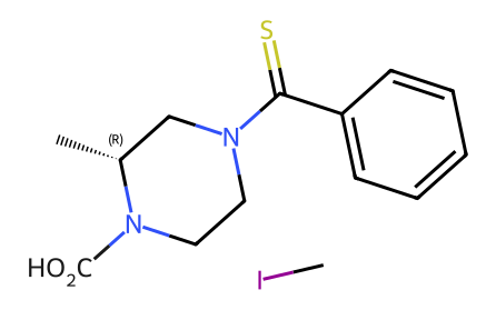 CI.C[C@@H]1CN(C(=S)c2ccccc2)CCN1C(=O)O